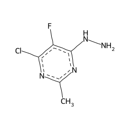 Cc1nc(Cl)c(F)c(NN)n1